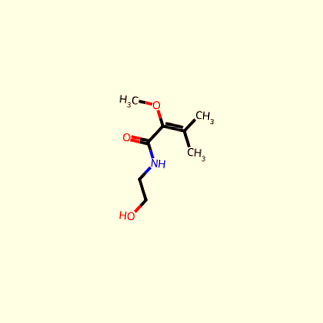 COC(C(=O)NCCO)=C(C)C